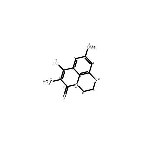 COc1cc2c3c(c1)c(O)c(C(=O)O)c(=O)n3CCS2